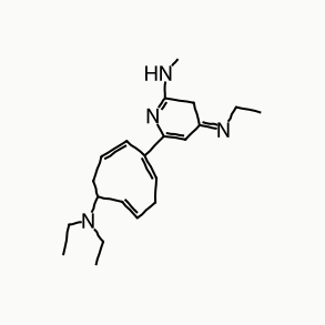 CC/N=C1C=C(C2=C/C/C=C/C(N(CC)CC)C/C=C\2)N=C(NC)C/1